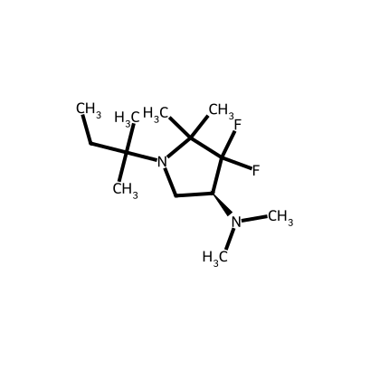 CCC(C)(C)N1C[C@H](N(C)C)C(F)(F)C1(C)C